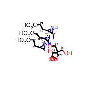 O=C(O)CCC1CN1.O=C(O)CCC1CN1.O=C(O)CCC1CN1.OCC(CO)(CO)CO